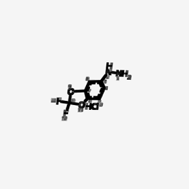 Cl.NNc1ccc2c(c1)OC(F)(F)O2